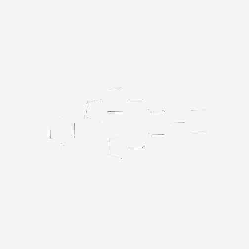 O=C1CCC(N2Cc3cc(CNC(=O)C(CNC(=O)C4CCCC4)C4CCCCC4)ccc3C2=O)C(=O)N1